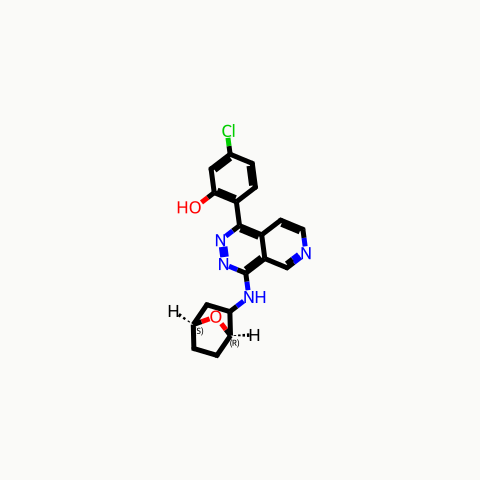 Oc1cc(Cl)ccc1-c1nnc(NC2C[C@@H]3CC[C@H]2O3)c2cnccc12